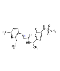 CC[C@@H](C)Cc1nc(C(F)(F)F)ccc1/C=C/C(=O)NC(C)c1ccc(NS(C)(=O)=O)c(F)c1